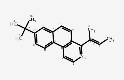 C/C=C(\C)c1nccc2c1ccc1cc(C(C)(C)C)ccc12